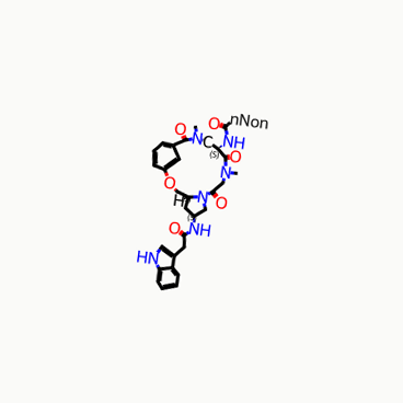 CCCCCCCCCC(=O)N[C@H]1CN(C)C(=O)c2cccc(c2)OC[C@@H]2C[C@H](NC(=O)Cc3c[nH]c4ccccc34)CN2C(=O)CN(C)C1=O